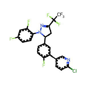 Fc1ccc(N2N=C(C(F)(F)C(F)(F)F)CC2c2ccc(F)c(-c3ccc(Cl)nc3)c2)c(F)c1